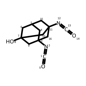 O=C=NC12CC3CC(O)(C1)CC(N=C=O)(C3)C2